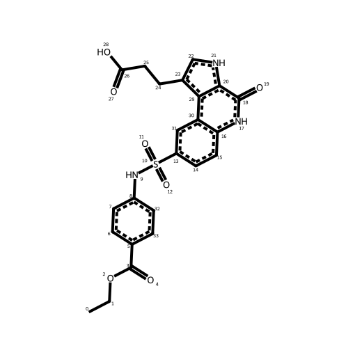 CCOC(=O)c1ccc(NS(=O)(=O)c2ccc3[nH]c(=O)c4[nH]cc(CCC(=O)O)c4c3c2)cc1